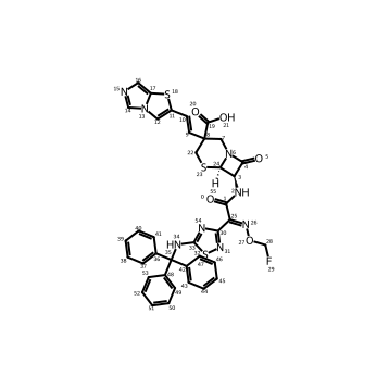 O=C(N[C@@H]1C(=O)N2CC(C=Cc3cn4cncc4s3)(C(=O)O)CS[C@H]12)C(=NOCF)c1nsc(NC(c2ccccc2)(c2ccccc2)c2ccccc2)n1